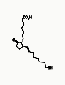 O=C(O)CCCCCC[C@H]1C(=O)CC[C@@H]1C=CCCCCCCS